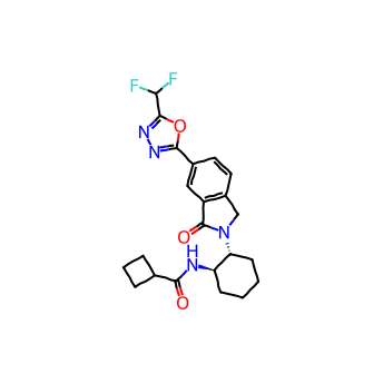 O=C(N[C@@H]1CCCC[C@H]1N1Cc2ccc(-c3nnc(C(F)F)o3)cc2C1=O)C1CCC1